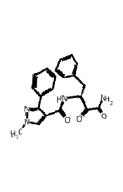 Cn1cc(C(=O)N[C@@H](Cc2ccccc2)C(=O)C(N)=O)c(-c2ccccc2)n1